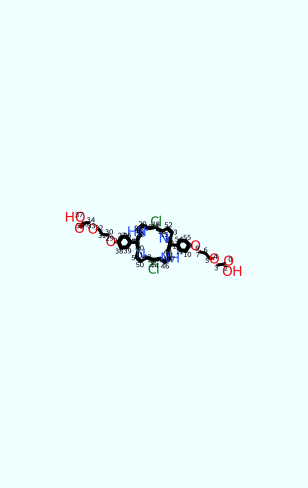 O=C(O)COCCCOc1ccc(-c2c3nc(c(Cl)c4ccc([nH]4)c(-c4ccc(OCCCOCC(=O)O)cc4)c4nc(c(Cl)c5ccc2[nH]5)C=C4)C=C3)cc1